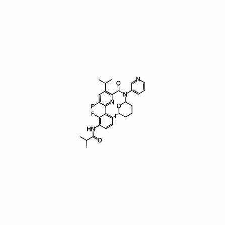 CC(C)C(=O)Nc1ccc(F)c(-c2nc(C(=O)N(c3cccnc3)C3CCCCO3)c(C(C)C)cc2F)c1F